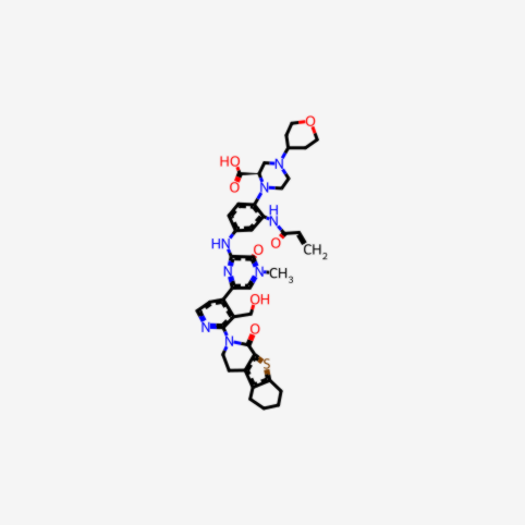 C=CC(=O)Nc1cc(Nc2nc(-c3ccnc(N4CCc5c(sc6c5CCCC6)C4=O)c3CO)cn(C)c2=O)ccc1N1CCN(C2CCOCC2)C[C@@H]1C(=O)O